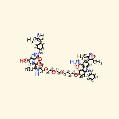 Cc1ncsc1-c1ccc(CNC(=O)[C@@H]2C[C@@H](O)CN2C(=O)[C@@H](NC(=O)COCCOCCOCCCCOc2ccc3c(c2)c2c(C(N)=O)cc(-c4c(C)noc4C)cc2n3Cc2ccccc2)C(C)(C)C)cc1